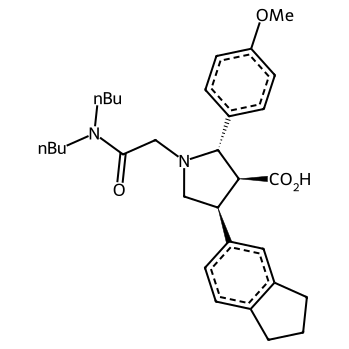 CCCCN(CCCC)C(=O)CN1C[C@H](c2ccc3c(c2)CCC3)[C@H](C(=O)O)[C@H]1c1ccc(OC)cc1